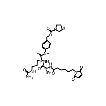 CC(C)[C@H](NC(=O)CCCCCN1C(=O)C=CC1=O)C(=O)N[C@@H](CCCNC(N)=O)C(=O)Nc1ccc(COC(=O)N2CC[C@H](C)C2)cc1